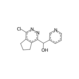 OC(c1cccnc1)c1nnc(Cl)c2c1CCC2